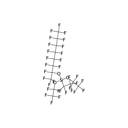 FC(F)(F)C(F)(F)O[Si](OC(F)(F)C(F)(F)F)(OC(F)(C(F)(F)F)C(F)(F)C(F)(F)C(F)(F)C(F)(F)C(F)(F)C(F)(F)F)C(F)(F)C(F)(F)F